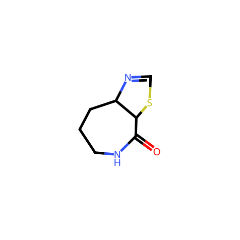 O=C1NCCCC2N=CSC12